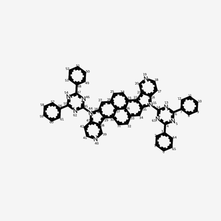 c1ccc(-c2nc(-c3ccccc3)nc(-n3c4ccncc4c4c5ccc6cc7c(c8ccc(cc43)c5c68)c3cnccc3n7-c3nc(-c4ccccc4)nc(-c4ccccc4)n3)n2)cc1